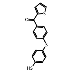 O=C(c1ccc(Sc2ccc(S)cc2)cc1)c1cccs1